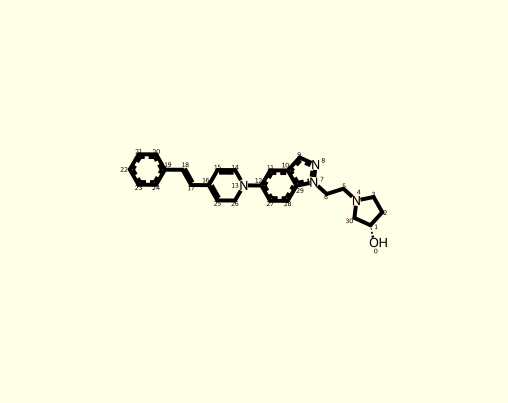 O[C@H]1CCN(CCn2ncc3cc(N4C=CC(C=Cc5ccccc5)=CC4)ccc32)C1